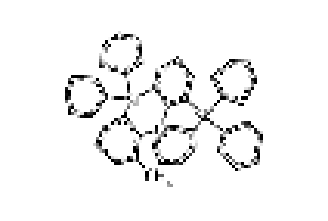 Cc1cccc2c1Oc1c([Si](c3ccccc3)(c3ccccc3)c3ccccc3)cccc1[Si]2(c1ccccc1)c1ccccc1